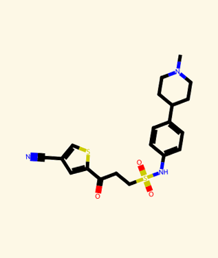 CN1CCC(c2ccc(NS(=O)(=O)CCC(=O)c3cc(C#N)cs3)cc2)CC1